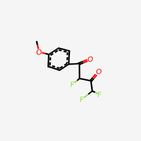 COc1ccc(C(=O)C(F)C(=O)C(F)F)cc1